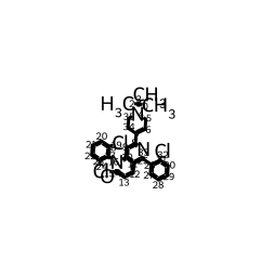 CC(C)(C)N1CC=C(c2cc3c(ccc(=O)n3-c3c(Cl)cccc3Cl)c(-c3ccccc3Cl)n2)CC1